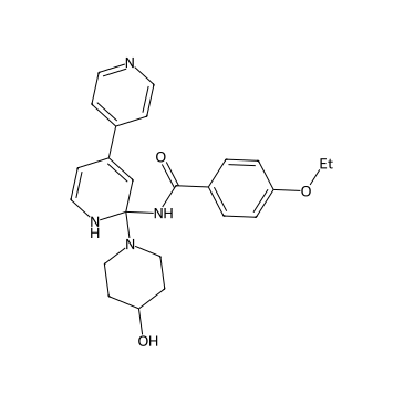 CCOc1ccc(C(=O)NC2(N3CCC(O)CC3)C=C(c3ccncc3)C=CN2)cc1